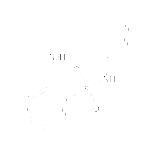 C=CCNS(=O)(=O)c1ccccc1.[NaH]